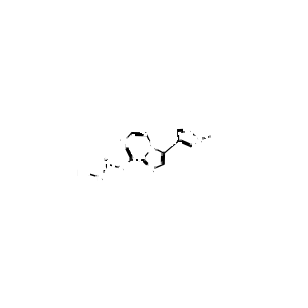 CCNC(=O)Nc1nccn2c(-c3cnn(C)c3)cnc12